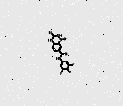 CCC1Nc2ccc(C(=O)Nc3cc(F)c(F)c(F)c3)cc2[S+]([O-])N1